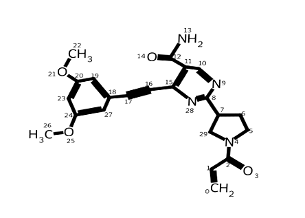 C=CC(=O)N1CCC(c2ncc(C(N)=O)c(C#Cc3cc(OC)cc(OC)c3)n2)C1